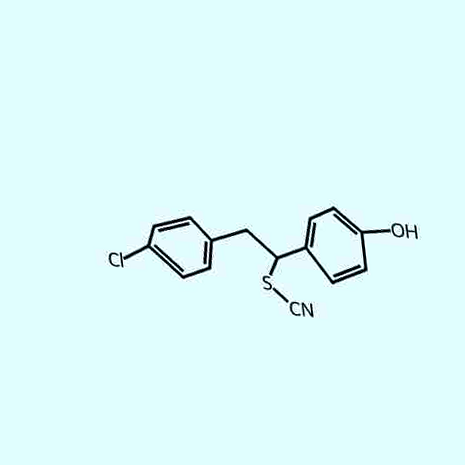 N#CSC(Cc1ccc(Cl)cc1)c1ccc(O)cc1